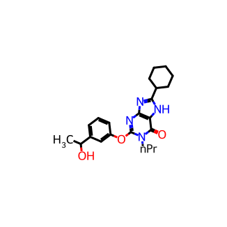 CCCn1c(Oc2cccc(C(C)O)c2)nc2nc(C3CCCCC3)[nH]c2c1=O